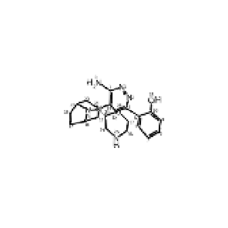 Nc1nnc(-c2ccccc2O)cc1N1CC2CCC(C1)N2C[C@H]1CNCCO1